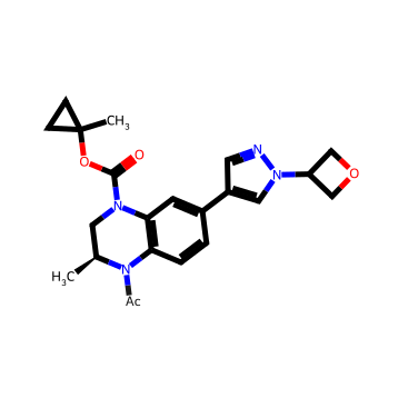 CC(=O)N1c2ccc(-c3cnn(C4COC4)c3)cc2N(C(=O)OC2(C)CC2)C[C@@H]1C